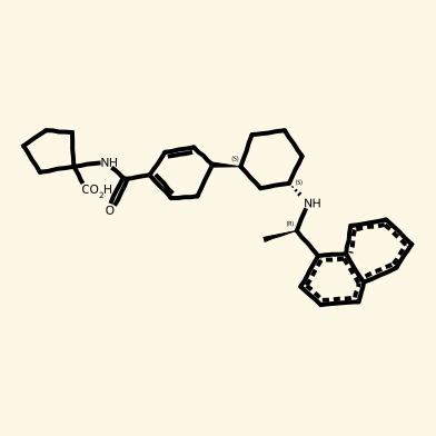 C[C@@H](N[C@H]1CCC[C@H](C2C=CC(C(=O)NC3(C(=O)O)CCCC3)=CC2)C1)c1cccc2ccccc12